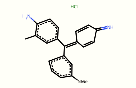 CNc1cccc(C(=C2C=CC(=N)C=C2)c2ccc(N)c(C)c2)c1.Cl